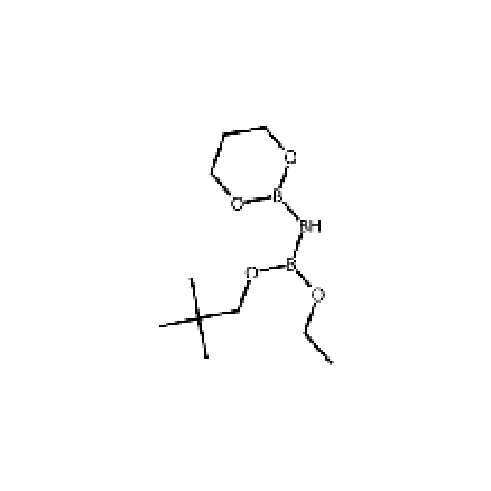 CCOB(BB1OCCCO1)OCC(C)(C)C